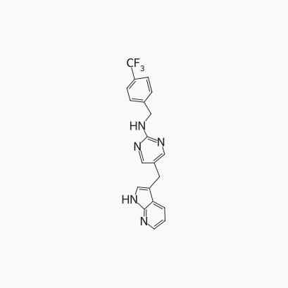 FC(F)(F)c1ccc(CNc2ncc(Cc3c[nH]c4ncccc34)cn2)cc1